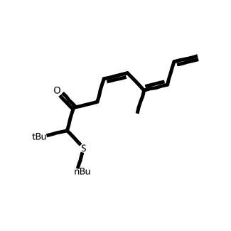 C=C/C=C(C)\C=C/CC(=O)C(SCCCC)C(C)(C)C